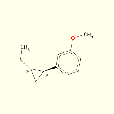 CC[C@H]1C[C@@H]1c1cccc(OC)c1